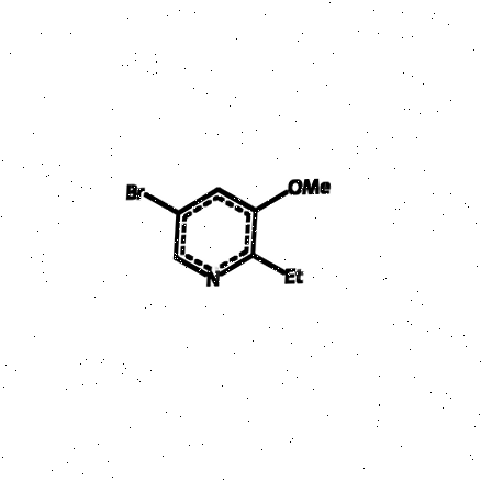 CCc1ncc(Br)cc1OC